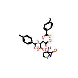 Cc1ccc(C(=O)O[C@H](C(=O)O)[C@H](OC(=O)c2ccc(C)cc2)C(=O)O)cc1.O=C1C[N@]2CC[C@H]1C2